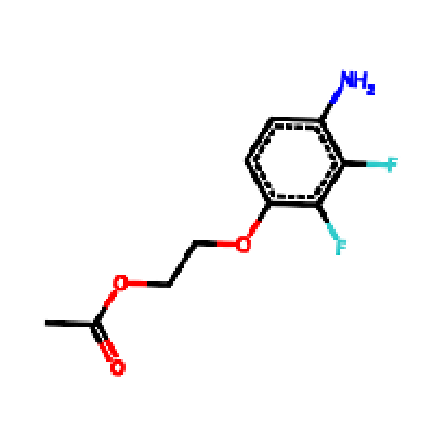 CC(=O)OCCOc1ccc(N)c(F)c1F